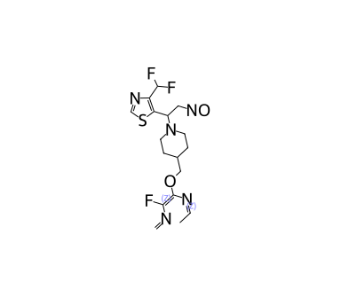 C=N/C(F)=C(\N=C/C)OCC1CCN(C(CN=O)c2scnc2C(F)F)CC1